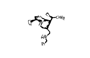 COC(=O)c1cc(CNCC(C)C)cn2c(Cl)cnc12